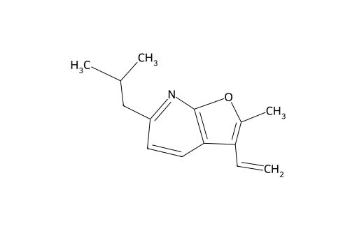 C=Cc1c(C)oc2nc(CC(C)C)ccc12